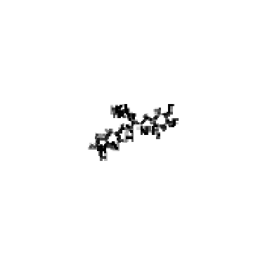 Cl.Cl.N[C@@H](Cc1ccc(F)c(F)c1)C(=O)NCc1cnc2[nH]ccc2c1